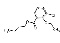 CCCCOC(=O)c1ccnc(Cl)c1OCC